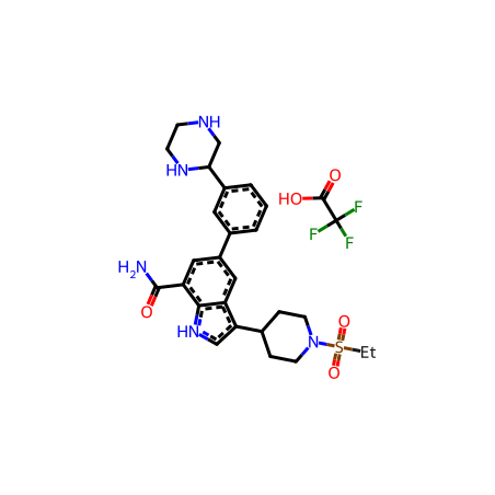 CCS(=O)(=O)N1CCC(c2c[nH]c3c(C(N)=O)cc(-c4cccc(C5CNCCN5)c4)cc23)CC1.O=C(O)C(F)(F)F